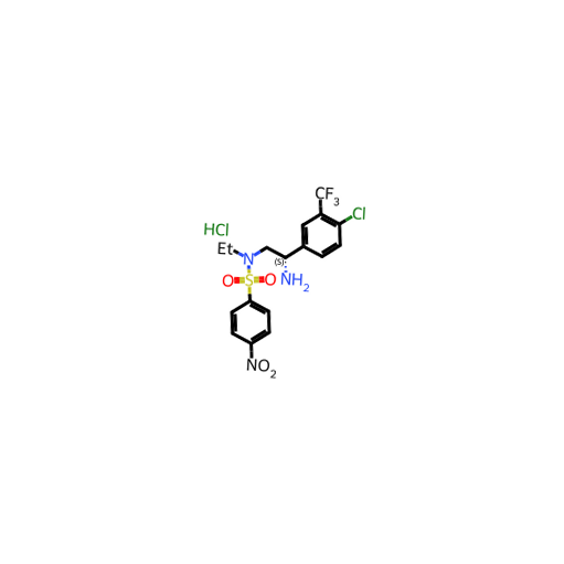 CCN(C[C@@H](N)c1ccc(Cl)c(C(F)(F)F)c1)S(=O)(=O)c1ccc([N+](=O)[O-])cc1.Cl